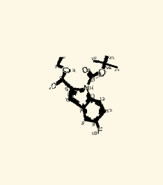 CCOC(=O)c1cc2cc(F)ccc2n1C(=O)OC(C)(C)C